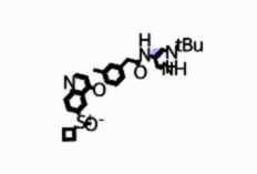 Cc1cc(CC(=O)N/C(C=N)=C/NC(C)(C)C)ccc1Oc1ccnc2ccc([S+]([O-])C3CCC3)cc12